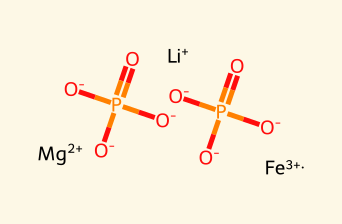 O=P([O-])([O-])[O-].O=P([O-])([O-])[O-].[Fe+3].[Li+].[Mg+2]